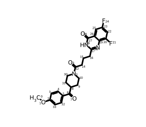 COc1ccc(C(=O)C2CCN(C(=O)CCCc3nc4c(F)cc(F)cc4c(=O)[nH]3)CC2)cc1